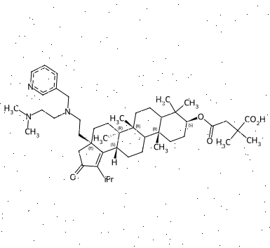 CC(C)C1=C2[C@H]3CCC4[C@@]5(C)CC[C@H](OC(=O)CC(C)(C)C(=O)O)C(C)(C)C5CC[C@@]4(C)[C@]3(C)CC[C@@]2(CCN(CCN(C)C)Cc2cccnc2)CC1=O